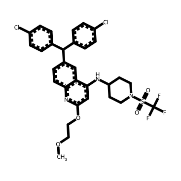 COCCOc1cc(NC2CCN(S(=O)(=O)C(F)(F)F)CC2)c2cc(C(c3ccc(Cl)cc3)c3ccc(Cl)cc3)ccc2n1